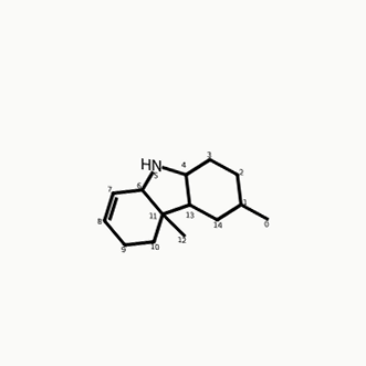 CC1CCC2NC3C=CCCC3(C)C2C1